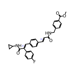 COC(=O)c1ccc(CNC(=O)/C=C/c2ccc(/C=C(/C(=O)NC3CC3)c3ccc(F)cc3)cc2)cc1